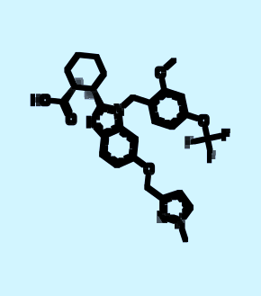 COc1cc(OC(F)(F)F)ccc1Cn1c([C@@H]2CCCC[C@@H]2C(=O)O)nc2ccc(OCc3ccn(C)n3)cc21